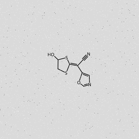 N#C/C(=C1/SCC(O)S1)c1cnco1